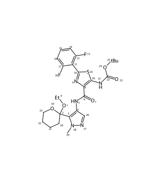 CCOC1(c2c(NC(=O)c3nc(-c4c(F)cccc4F)sc3NC(=O)OC(C)(C)C)cnn2C)CCCCO1